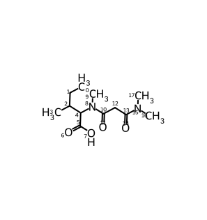 CCC(C)C(C(=O)O)N(C)C(=O)CC(=O)N(C)C